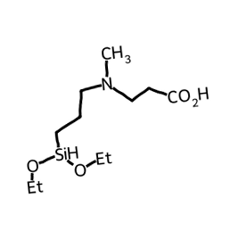 CCO[SiH](CCCN(C)CCC(=O)O)OCC